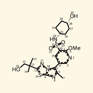 COc1ncc(-c2c(C)nc3sc(C(C)(C)CO)nn23)cc1S(=O)(=O)N[C@H]1CC[C@@H](O)CC1